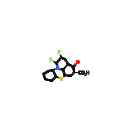 O=C(O)c1cc2c3n(c(F)c(F)cc-3c1=O)-c1ccccc1S2